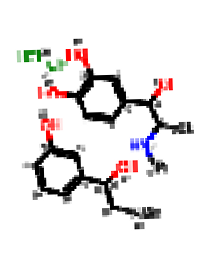 CCC(NC(C)C)C(O)c1ccc(O)c(O)c1.CNC[C@H](O)c1cccc(O)c1.Cl.Cl